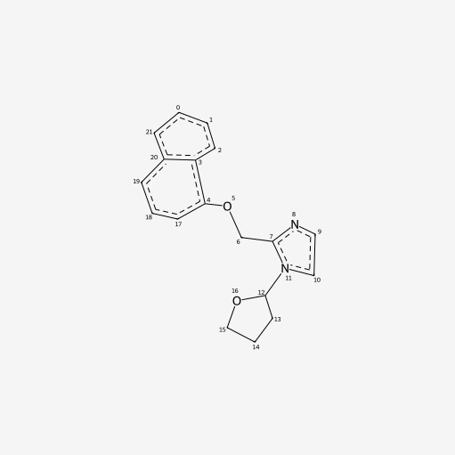 c1ccc2c(OCc3nccn3C3CCCO3)cccc2c1